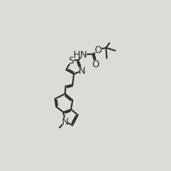 Cn1ccc2cc(C=Cc3csc(NC(=O)OC(C)(C)C)n3)ccc21